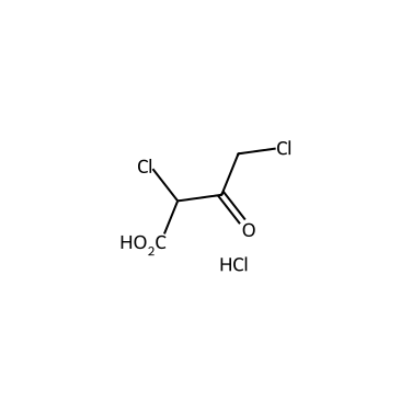 Cl.O=C(O)C(Cl)C(=O)CCl